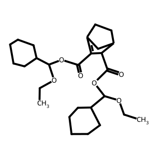 CCOC(OC(=O)C1=C2CCC(C2)C1C(=O)OC(OCC)C1CCCCC1)C1CCCCC1